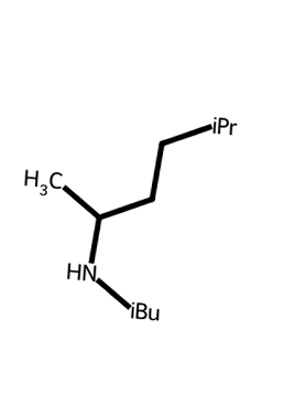 CCC(C)NC(C)CCC(C)C